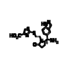 NC(c1ccc2[nH]ncc2c1)[C@H]1CCC(=O)N1CCSc1nc(C(=O)O)cs1